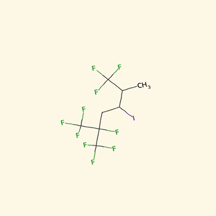 CC(C(I)CC(F)(C(F)(F)F)C(F)(F)F)C(F)(F)F